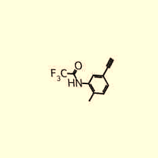 C#Cc1ccc(C)c(NC(=O)C(F)(F)F)c1